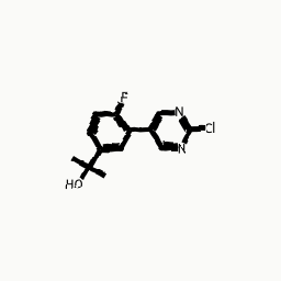 CC(C)(O)c1ccc(F)c(-c2cnc(Cl)nc2)c1